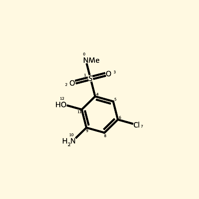 CNS(=O)(=O)c1cc(Cl)cc(N)c1O